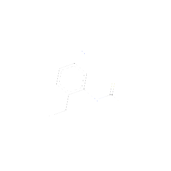 CCc1ccccc1NC(=S)S.N